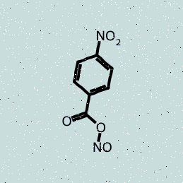 O=NOC(=O)c1ccc([N+](=O)[O-])cc1